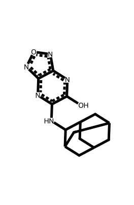 Oc1nc2nonc2nc1NC1C2CC3CC(C2)CC1C3